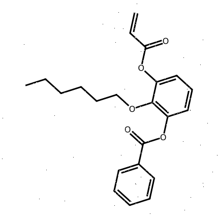 C=CC(=O)Oc1cc[c]c(OC(=O)c2ccccc2)c1OCCCCCC